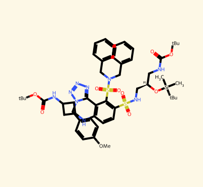 COc1ccc(Cn2nnnc2-c2c(NC3CC(NC(=O)OC(C)(C)C)C3)ccc(S(=O)(=O)NC[C@@H](CNC(=O)OC(C)(C)C)O[Si](C)(C)C(C)(C)C)c2S(=O)(=O)N(Cc2ccccc2)Cc2ccccc2)cc1